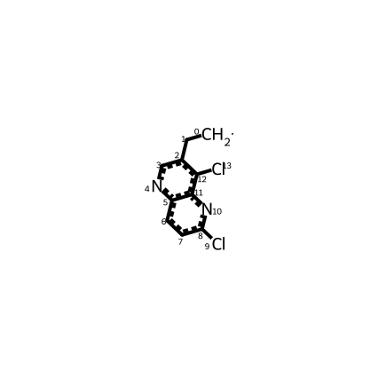 [CH2]Cc1cnc2ccc(Cl)nc2c1Cl